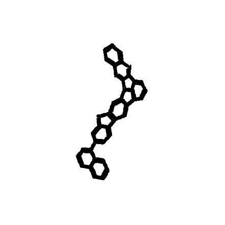 c1ccc2c(-c3ccc4c(c3)sc3cc5c(cc34)c3cccc4c6nc7ccccc7nc6n5c34)cccc2c1